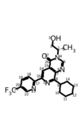 C[C@@H](CO)n1cnc2c(C3CCCCC3)nc(-c3ccc(C(F)(F)F)cn3)cc2c1=O